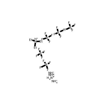 CC[NH+](CC)CC.F[B-](F)(F)F.F[B-](F)(F)F.F[B-](F)(F)F.F[B-](F)(F)F.F[B-](F)(F)F.[NH4+].[NH4+].[NH4+].[NH4+]